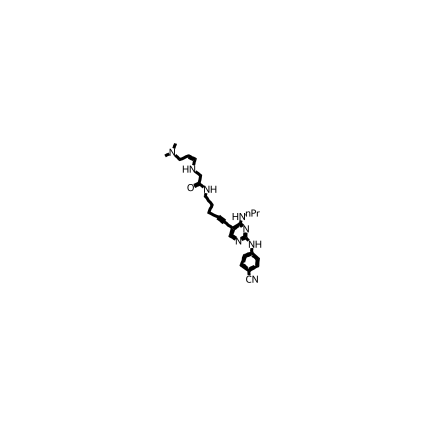 CCCNc1nc(Nc2ccc(C#N)cc2)ncc1C#CCCCNC(=O)CN/C=C\CN(C)C